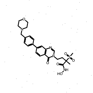 CC(CCn1cnc2cc(-c3ccc(CN4CCOCC4)cc3)ccc2c1=O)(C(=O)NO)S(C)(=O)=O